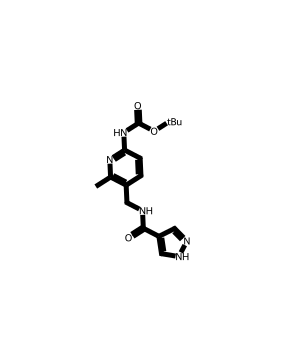 Cc1nc(NC(=O)OC(C)(C)C)ccc1CNC(=O)c1cn[nH]c1